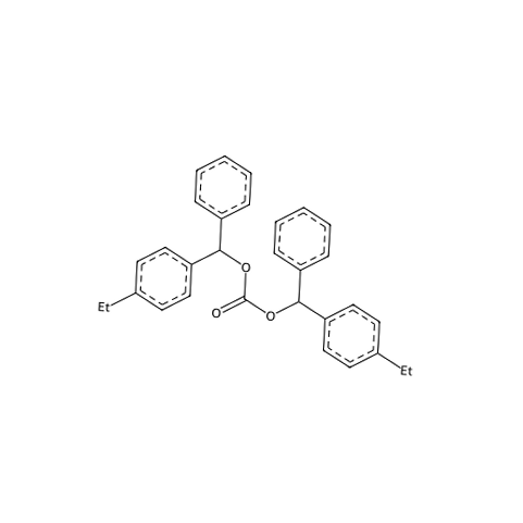 CCc1ccc(C(OC(=O)OC(c2ccccc2)c2ccc(CC)cc2)c2ccccc2)cc1